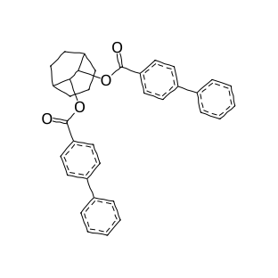 O=C(OC1C2CCCC(CC2)C1OC(=O)c1ccc(-c2ccccc2)cc1)c1ccc(-c2ccccc2)cc1